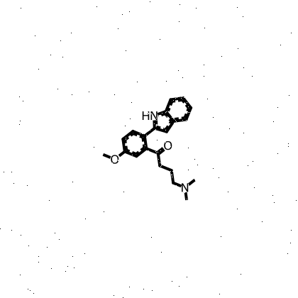 COc1ccc(-c2cc3ccccc3[nH]2)c(C(=O)CCCN(C)C)c1